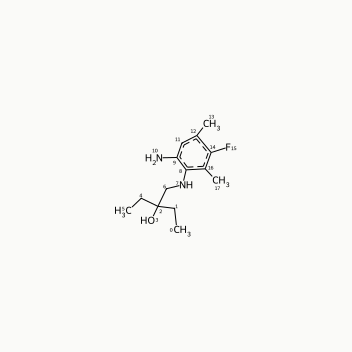 CCC(O)(CC)CNc1c(N)cc(C)c(F)c1C